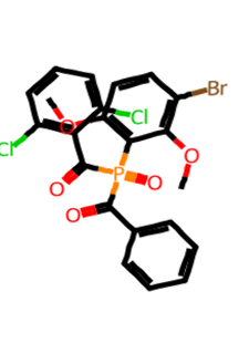 COc1ccc(Br)c(OC)c1P(=O)(C(=O)c1ccccc1)C(=O)c1c(Cl)cccc1Cl